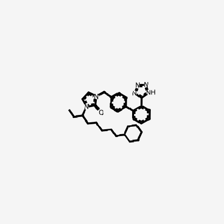 CCC(CCCCCC1CCCCC1)n1ccn(Cc2ccc(-c3ccccc3-c3nnn[nH]3)cc2)c1=O